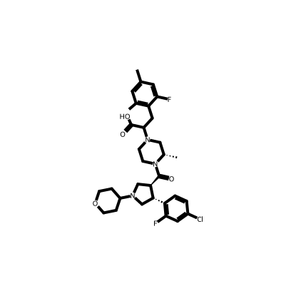 Cc1cc(C)c(CC(C(=O)O)N2CCN(C(=O)[C@@H]3CN(C4CCOCC4)C[C@H]3c3ccc(Cl)cc3F)[C@@H](C)C2)c(F)c1